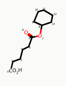 O=C(O)CCCCC(=O)OC1CCCCC1